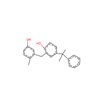 Cc1ccc(O)cc1Cc1cc(C(C)(C)c2ccccc2)ccc1O